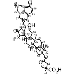 CC(C)C1=C2[C@H]3CC[C@@H]4[C@@]5(C)CC[C@H](OC(=O)CC(C)(C)C(=O)O)C(C)(C)[C@@H]5CC[C@@]4(C)[C@]3(C)CC[C@@]2([C@@H](O)CN(CCCN(C)C)Cc2ccc(Cl)cc2)CC1=O